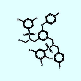 CC(C)CN(Cc1cc(CN(Cc2ccc(F)cc2)S(=O)(=O)c2cc(Cl)cc(Cl)c2O)cc(Oc2ccc(F)cc2)c1)S(=O)(=O)c1cc(Cl)cc(Cl)c1